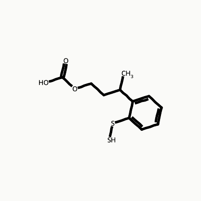 CC(CCOC(=O)O)c1ccccc1SS